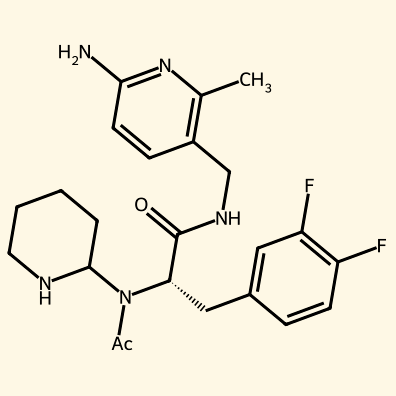 CC(=O)N(C1CCCCN1)[C@@H](Cc1ccc(F)c(F)c1)C(=O)NCc1ccc(N)nc1C